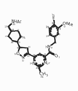 COc1cc(CNC(=O)c2cc(C3=NOC(C4CCC(CNC(C)=O)CC4)C3)nc(C)n2)ccc1F